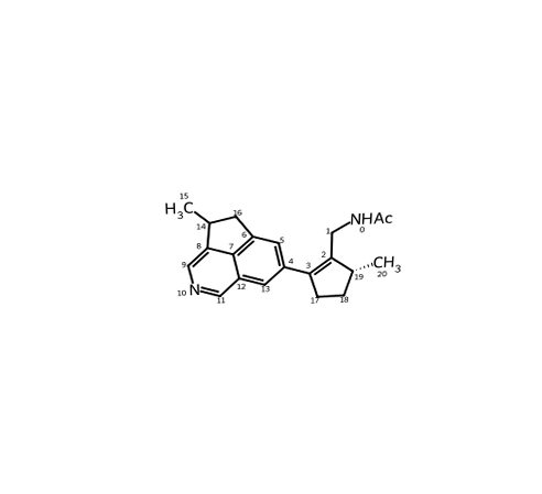 CC(=O)NCC1=C(c2cc3c4c(cncc4c2)C(C)C3)CC[C@H]1C